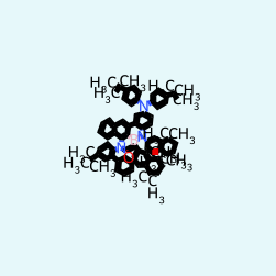 CC(C)(C)c1ccc(N(c2ccc(C(C)(C)C)cc2)c2ccc3c(c2)-c2cc4ccccc4c4c2B(c2c(oc5cc6c(cc25)C(C)(C)CCC6(C)C)N4c2ccc(C(C)(C)C)cc2-c2ccccc2)N3c2ccc3c(c2)C(C)(C)CCC3(C)C)cc1